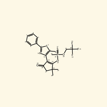 Cc1sc(-c2ccccc2)nc1C1=C(OP(C)(=S)OCC(F)(F)F)C(C)(C)CC1=O